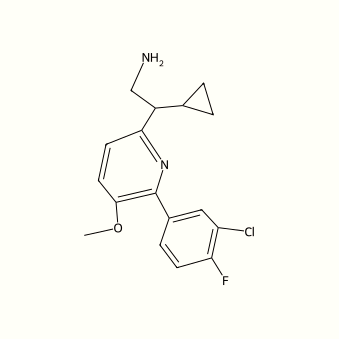 COc1ccc(C(CN)C2CC2)nc1-c1ccc(F)c(Cl)c1